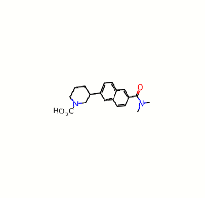 CN(C)C(=O)c1ccc2cc(C3CCCN(C(=O)O)C3)ccc2c1